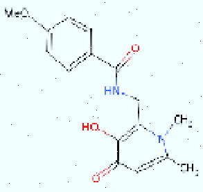 COc1ccc(C(=O)NCc2c(O)c(=O)cc(C)n2C)cc1